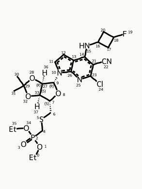 CCOP(=O)(CSC[C@H]1O[C@@H](n2ccc3c(NC4CC(F)C4)c(C#N)c(Cl)nc32)[C@@H]2OC(C)(C)O[C@@H]21)OCC